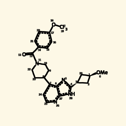 CO[C@H]1C[C@H](c2nc3c(C4CCN(C(=O)c5ccc(OC(F)(F)F)cc5)CC4)ccnc3[nH]2)C1